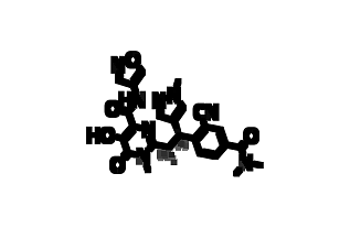 C[C@H](c1nc(C(=O)Nc2cnoc2)c(O)c(=O)n1C)[C@@H](c1cnn(C)c1)c1ccc(C(=O)N(C)C)cc1C#N